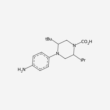 CC(C)C1CN(c2ccc(N)cc2)C(C(C)(C)C)CN1C(=O)O